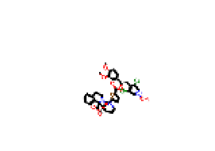 COc1ccc([C@H](Cc2c(Cl)c[n+](O)cc2Cl)OC(=O)c2ccc(CN3CCc4ccccc4C3(C(=O)[O-])[C@H]3CN4CCC3CC4)s2)cc1OC